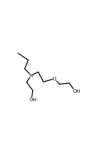 CCCN(CCO)CCOCCO